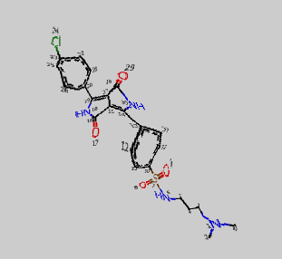 CN(C)CCCNS(=O)(=O)c1ccc(C2=C3C(=O)NC(c4ccc(Cl)cc4)=C3C(=O)N2)cc1